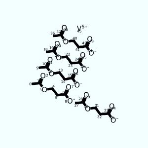 CC(=O)OCCC(=O)[O-].CC(=O)OCCC(=O)[O-].CC(=O)OCCC(=O)[O-].CC(=O)OCCC(=O)[O-].CC(=O)OCCC(=O)[O-].[V+5]